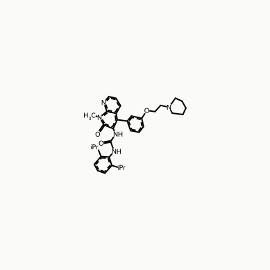 CC(C)c1cccc(C(C)C)c1NC(=O)Nc1c(-c2cccc(OCCN3CCCCC3)c2)c2cccnc2n(C)c1=O